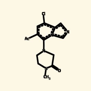 CC(=O)c1cc(Cl)c2cncn2c1N1CCN(C)C(=O)C1